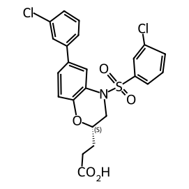 O=C(O)CC[C@H]1CN(S(=O)(=O)c2cccc(Cl)c2)c2cc(-c3cccc(Cl)c3)ccc2O1